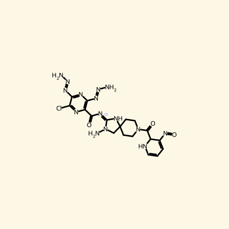 NN=Nc1nc(N=NN)c(C(=O)/N=C2/NC3(CCN(C(=O)C4NC=CC=C4N=O)CC3)CN2N)nc1Cl